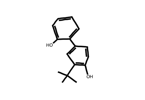 CC(C)(C)c1cc(-c2ccccc2O)ccc1O